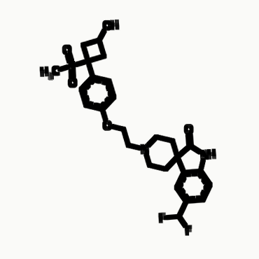 CS(=O)(=O)C1(c2ccc(OCCN3CCC4(CC3)C(=O)Nc3ccc(C(F)F)cc34)cc2)CC(O)C1